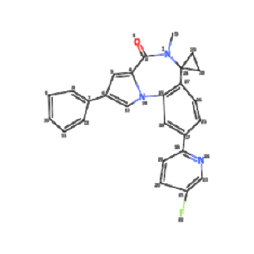 CN1C(=O)c2cc(-c3ccccc3)cn2-c2cc(-c3ccc(F)cn3)ccc2C12CC2